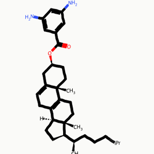 CC(C)CCC[C@@H](C)[C@H]1CC[C@H]2C3=C(CC[C@]12C)[C@@]1(C)CC[C@H](OC(=O)c2cc(N)cc(N)c2)CC1=CC3